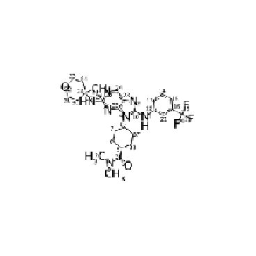 CN(C)C(=O)[C@H]1CC[C@H](n2c(Nc3cccc(C(F)(F)F)c3)nc3cnc(NC4(C)CCOCC4)nc32)CC1